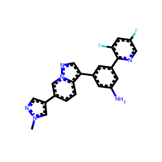 Cn1cc(-c2ccc3c(-c4cc(N)cc(-c5ncc(F)cc5F)c4)cnn3c2)cn1